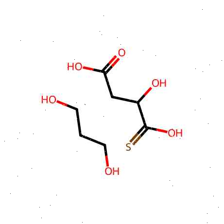 O=C(O)CC(O)C(O)=S.OCCCO